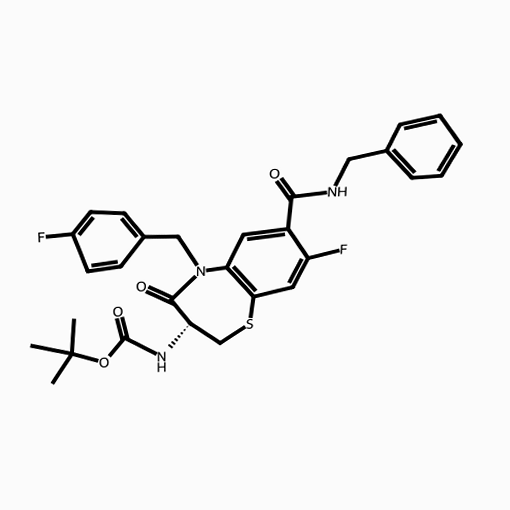 CC(C)(C)OC(=O)N[C@H]1CSc2cc(F)c(C(=O)NCc3ccccc3)cc2N(Cc2ccc(F)cc2)C1=O